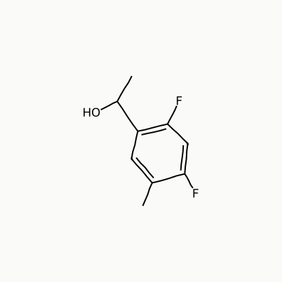 Cc1cc(C(C)O)c(F)cc1F